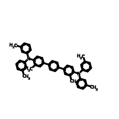 Cc1cccc(N(c2cccc(C)c2)c2ccc(-c3ccc(-c4ccc(N(c5cccc(C)c5)c5cccc(C)c5)c(C)c4)cc3)cc2C)c1